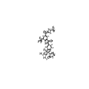 Cn1cnnc1C(F)(F)C(C)(F)c1cccc(N2Cc3c(cc(C(=O)N4CC(C(F)F)C4)cc3C(F)(F)F)C2=O)c1